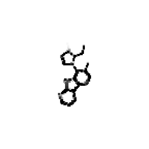 CCC1N(C)C=CN1c1c(C)ccc2c1oc1ncccc12